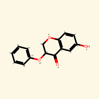 O=C1c2cc(O)ccc2OCC1Oc1ccccc1